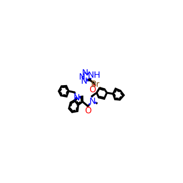 CN(CC1(OCc2nnn[nH]2)C=CC(c2ccccc2)C=C1Br)C(=O)c1cn(Cc2ccccc2)c2ccccc12